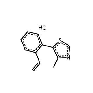 C=Cc1ccccc1-c1scnc1C.Cl